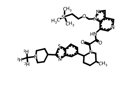 [2H]C([2H])([2H])N1CCC(c2nc3cc(C4CCC(C)CN4C(=O)C(=O)Nc4cncc5cnn(COCC[Si](C)(C)C)c45)ccc3s2)CC1